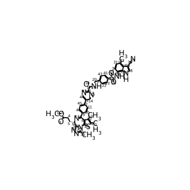 COC(=O)CC[C@@H]1N=C(c2ccc(-c3cnc(C(=O)NCc4ccc(S(=O)(=O)Nc5ccc(C)c6c(C#N)c[nH]c56)cc4)nc3)cc2)c2c(sc(C)c2C)-n2c(C)nnc21